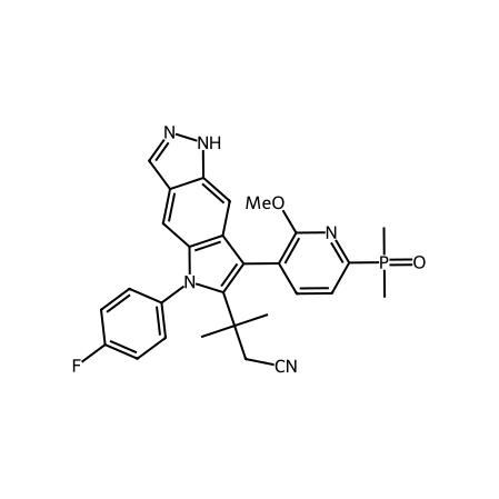 COc1nc(P(C)(C)=O)ccc1-c1c(C(C)(C)CC#N)n(-c2ccc(F)cc2)c2cc3cn[nH]c3cc12